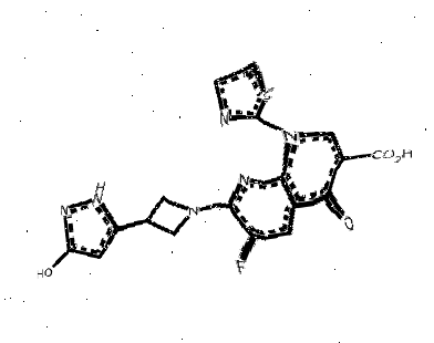 O=C(O)c1cn(-c2nccs2)c2nc(N3CC(c4cc(O)n[nH]4)C3)c(F)cc2c1=O